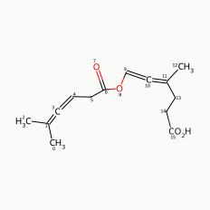 CC(C)=C=CCC(=O)OC=C=C(C)CCC(=O)O